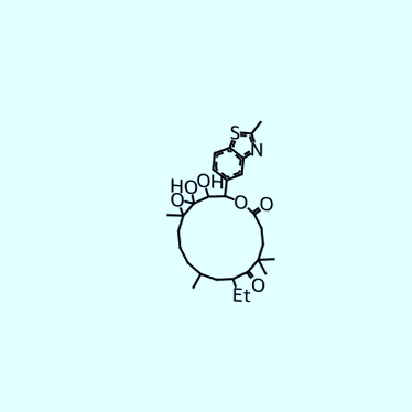 CCC1CC(C)CCCC2(C)OC2(O)C(O)C(c2ccc3sc(C)nc3c2)OC(=O)CCC(C)(C)C1=O